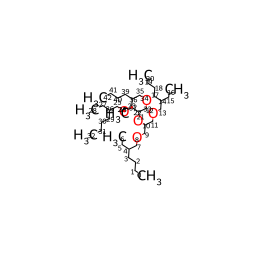 CCCCC(CC)COCC(COCC(CC)CCCC)OC(COCC(CC)CCCC)COCC(CC)CCCC